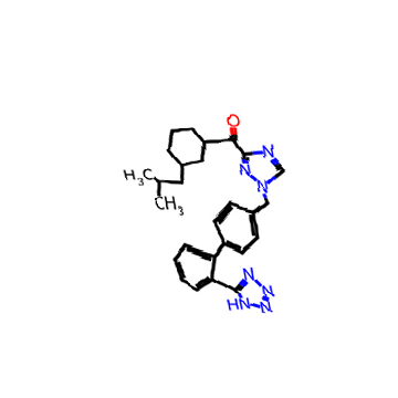 CC(C)CC1CCCC(C(=O)c2ncn(Cc3ccc(-c4ccccc4-c4nnn[nH]4)cc3)n2)C1